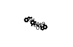 COc1cccc2c1C(OC(=O)COc1c(C)cc([SH]3C(C)=Cc4ccccc43)cc1C)CC2